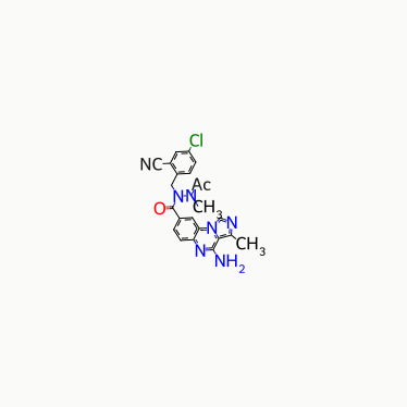 CC(=O)N(C)N(Cc1ccc(Cl)cc1C#N)C(=O)c1ccc2nc(N)c3c(C)ncn3c2c1